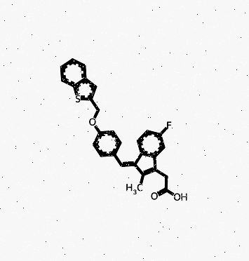 CC1=C(CC(=O)O)c2cc(F)ccc2/C1=C\c1ccc(OCc2cc3ccccc3s2)cc1